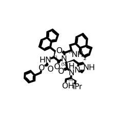 CC(C)C[C@@H](CO)NC(=O)[C@H](Cc1c[nH]cn1)N(C(=O)[C@H](Cc1cccc2ccccc12)NC(=O)OCc1ccccc1)C(=O)[C@@H](N)Cc1cccc2ccccc12